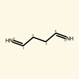 N=CCCC=N